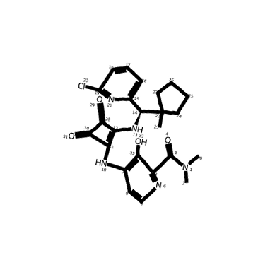 CN(C)C(=O)c1nccc(Nc2c(N[C@@H](c3cccc(Cl)n3)C3(C)CCCC3)c(=O)c2=O)c1O